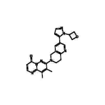 Cc1c(N2CCc3ncc(-c4ccnn4C4COC4)cc3C2)nn2c(=O)ccnc2c1C